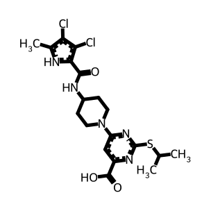 Cc1[nH]c(C(=O)NC2CCN(c3cc(C(=O)O)nc(SC(C)C)n3)CC2)c(Cl)c1Cl